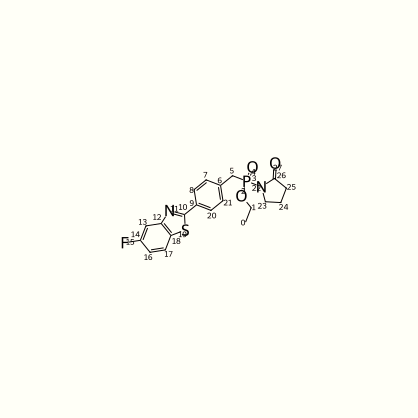 CCOP(=O)(Cc1ccc(-c2nc3cc(F)ccc3s2)cc1)N1CCCC1=O